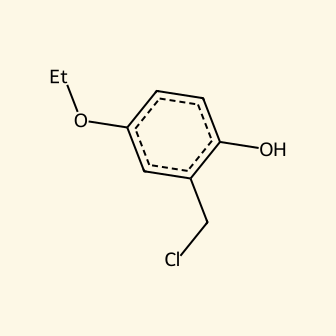 CCOc1ccc(O)c(CCl)c1